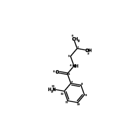 CC(O)CNC(=O)c1ccccc1N